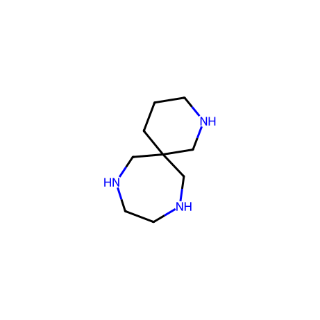 C1CNCC2(C1)CNCCNC2